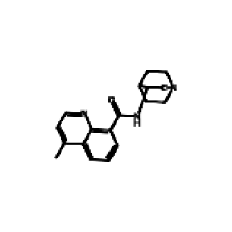 Cc1ccnc2c(C(=O)NC3CN4CCC3CC4)cccc12